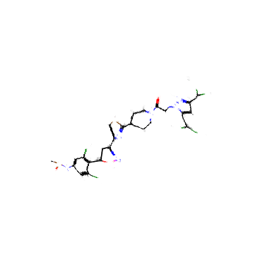 CS(=O)(=O)Nc1cc(F)c(C2CC(c3csc(C4CCN(C(=O)Cn5nc(C(F)F)cc5C(F)F)CC4)n3)=NO2)c(F)c1